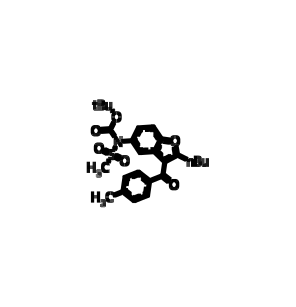 CCCCc1oc2ccc(N(C(=O)OC(C)(C)C)S(C)(=O)=O)cc2c1C(=O)c1ccc(C)cc1